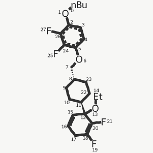 CCCCOc1ccc(OC[C@H]2CC[C@H](C3(OCC)C=CCC(F)=C3F)CC2)c(F)c1F